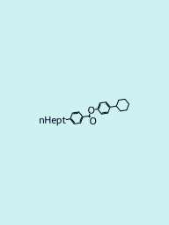 CCCCCCCc1ccc(C(=O)Oc2ccc(C3CCCCC3)cc2)cc1